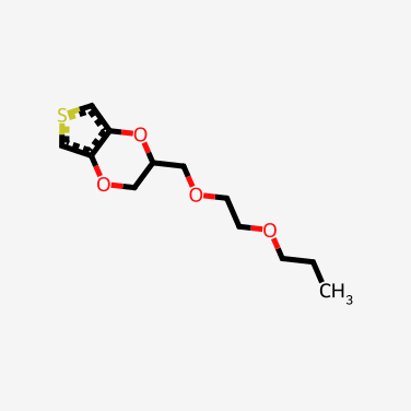 CCCOCCOCC1COc2cscc2O1